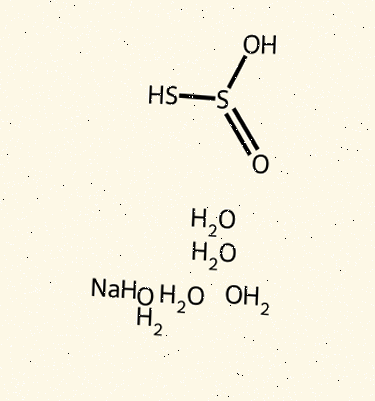 O.O.O.O.O.O=S(O)S.[NaH]